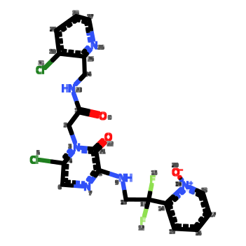 O=C(Cn1c(Cl)cnc(NCC(F)(F)c2cccc[n+]2[O-])c1=O)NCc1ncccc1Cl